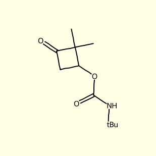 CC(C)(C)NC(=O)OC1CC(=O)C1(C)C